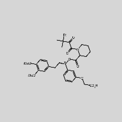 CCC(C)(C)C(=O)C(=O)N1CCCCC1C(=O)O[C@H](CCc1ccc(OC)c(OC)c1)c1cccc(OCC(=O)O)c1